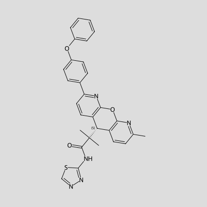 Cc1ccc2c(n1)Oc1nc(-c3ccc(Oc4ccccc4)cc3)ccc1[C@H]2C(C)(C)C(=O)Nc1nncs1